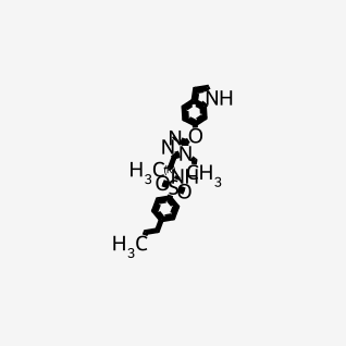 CCCc1ccc(S(=O)(=O)N[C@H](C)c2nnc(Oc3ccc4cc[nH]c4c3)n2CC)cc1